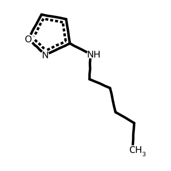 CCCCCNc1ccon1